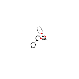 Cc1nc([C@H]2C[C@H]3CC[C@@H](C2)N3C(=O)c2cc(C#N)c(-c3ccc(C(F)(F)F)cc3)nc2C(F)F)no1